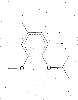 COc1cc(C)cc(F)c1OC(C)C